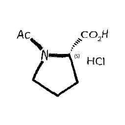 CC(=O)N1CCC[C@H]1C(=O)O.Cl